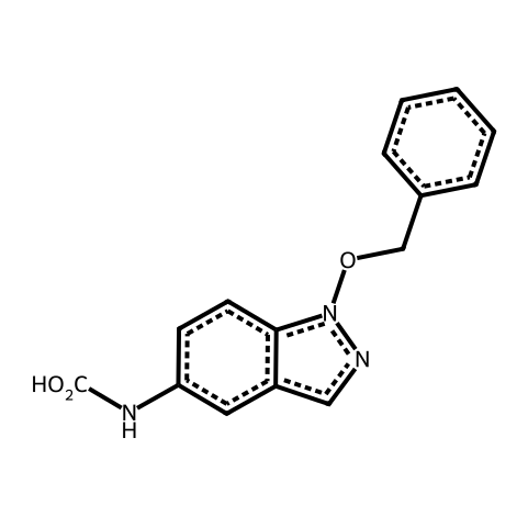 O=C(O)Nc1ccc2c(cnn2OCc2ccccc2)c1